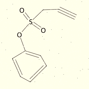 C#CCS(=O)(=O)Oc1ccccc1